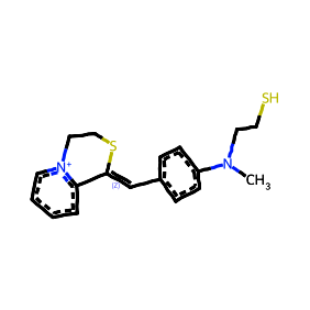 CN(CCS)c1ccc(/C=C2\SCC[n+]3ccccc32)cc1